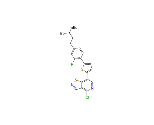 CCCCC(CC)CCc1ccc(-c2ccc(-c3cnc(Cl)c4cnsc34)s2)c(F)c1